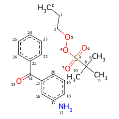 CCCOOS(=O)(=O)C(C)(C)C.N.O=C(c1ccccc1)c1ccccc1